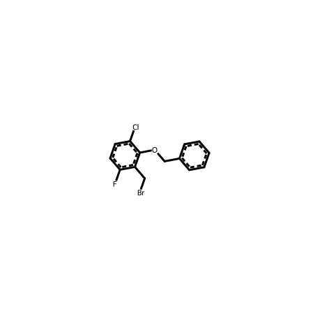 Fc1ccc(Cl)c(OCc2ccccc2)c1CBr